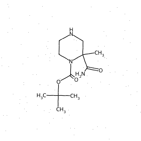 CC(C)(C)OC(=O)N1CCNCC1(C)C(N)=O